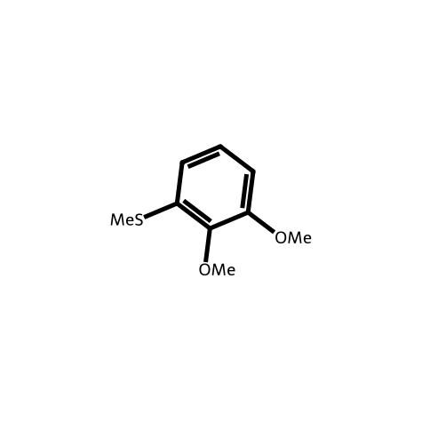 [CH2]Sc1cccc(OC)c1OC